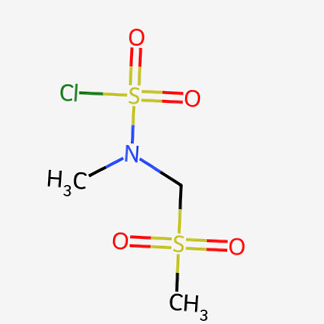 CN(CS(C)(=O)=O)S(=O)(=O)Cl